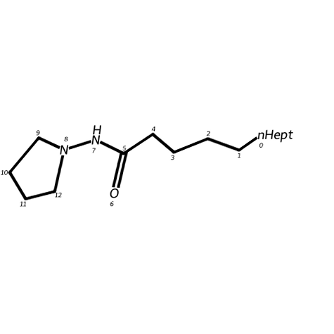 CCCCCCCCCCCC(=O)NN1CCCC1